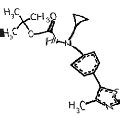 Cc1ncsc1-c1ccc(N(NC(=O)OC(C)(C)C)C2CC2)cc1